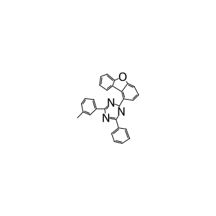 Cc1cccc(-c2nc(-c3ccccc3)nc(-c3cccc4oc5ccccc5c34)n2)c1